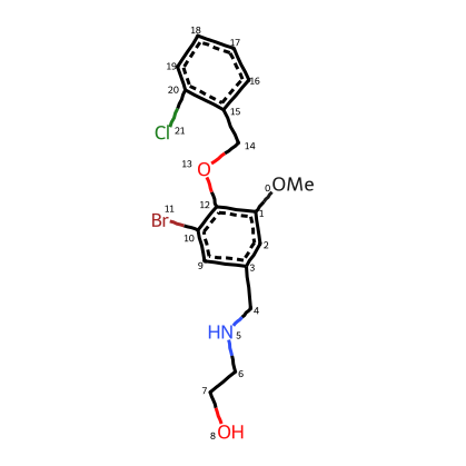 COc1cc(CNCCO)cc(Br)c1OCc1ccccc1Cl